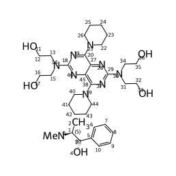 CN[C@@H](C)[C@@H](O)c1ccccc1.OCCN(CCO)c1nc(N2CCCCC2)c2nc(N(CCO)CCO)nc(N3CCCCC3)c2n1